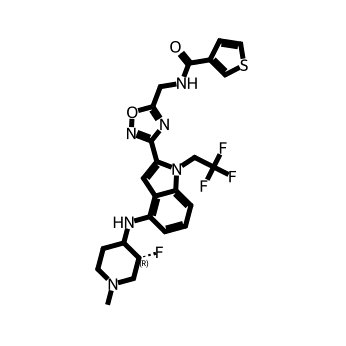 CN1CCC(Nc2cccc3c2cc(-c2noc(CNC(=O)c4ccsc4)n2)n3CC(F)(F)F)[C@H](F)C1